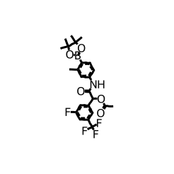 CC(=O)OC(C(=O)Nc1ccc(B2OC(C)(C)C(C)(C)O2)c(C)c1)c1cc(F)cc(C(F)(F)F)c1